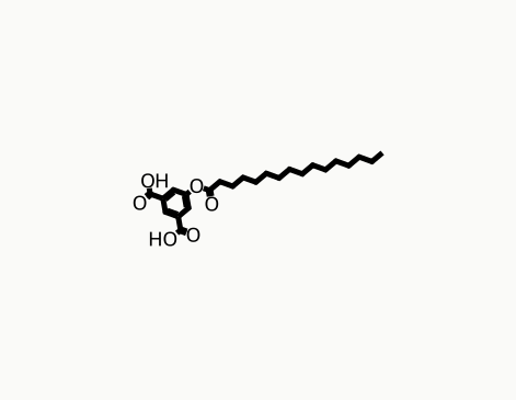 CCCCCCCCCCCCCCCC(=O)Oc1cc(C(=O)O)cc(C(=O)O)c1